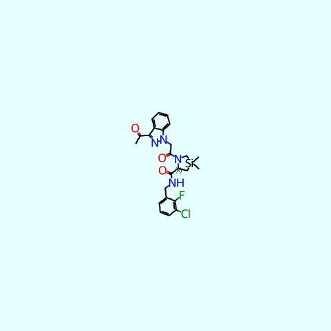 CC(=O)c1nn(CC(=O)N2C[Si](C)(C)C[C@H]2C(=O)NCc2cccc(Cl)c2F)c2ccccc12